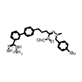 CCN(C=O)/C(CCCc1ccc(-c2cccc(/C(=N/N)NN)c2)cc1)=N\N(C)Cc1ccc(C(C)(C)C)cc1